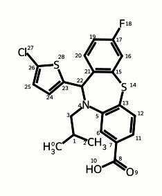 CC(C)CN1c2cc(C(=O)O)ccc2Sc2cc(F)ccc2C1c1ccc(Cl)s1